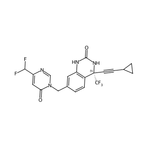 O=C1Nc2cc(Cn3cnc(C(F)F)cc3=O)ccc2[C@@](C#CC2CC2)(C(F)(F)F)N1